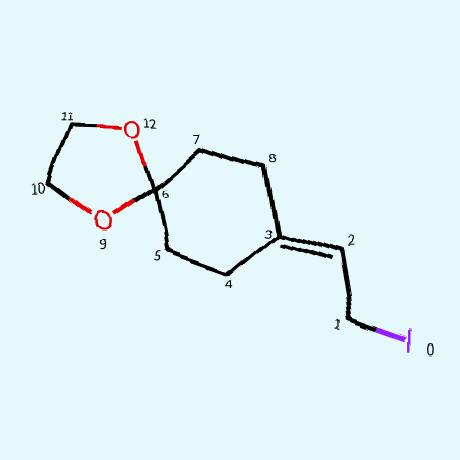 ICC=C1CCC2(CC1)OCCO2